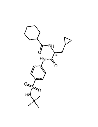 CC(C)(C)NS(=O)(=O)c1ccc(NC(=O)[C@H](CC2CC2)NC(=O)C2CCCCC2)cc1